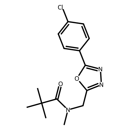 CN(Cc1nnc(-c2ccc(Cl)cc2)o1)C(=O)C(C)(C)C